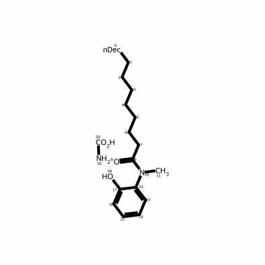 CCCCCCCCCCCCCCCCCC(=O)N(C)c1ccccc1O.NC(=O)O